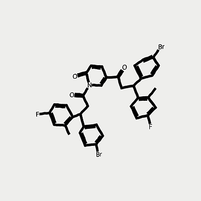 Cc1cc(F)ccc1C(CC(=O)c1ccc(=O)n(C(=O)CC(c2ccc(Br)cc2)c2ccc(F)cc2C)c1)c1ccc(Br)cc1